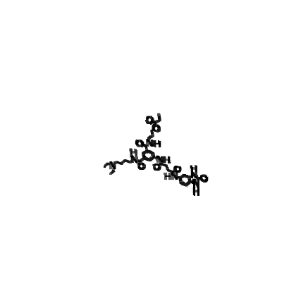 C=CC(=O)OCCCNC(=O)c1cc(NC(=O)CCC(=O)Nc2ccc3[nH]c(=O)[nH]c3c2)cc(C(=O)NCCCCN(CC)CC)c1